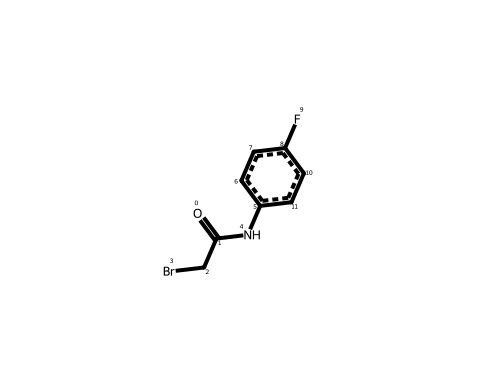 O=C(CBr)Nc1ccc(F)cc1